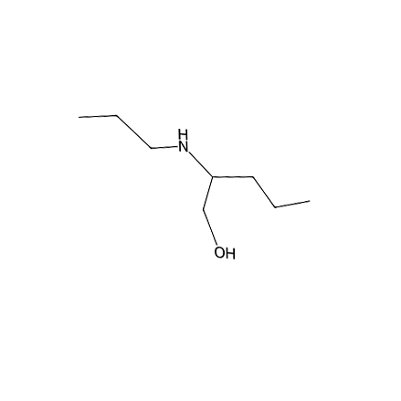 CCCNC(CO)CCC